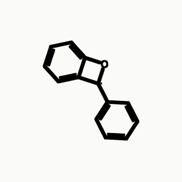 c1ccc([C]2Oc3ccccc32)cc1